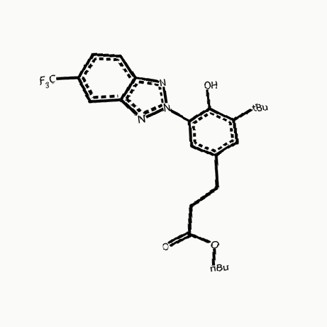 CCCCOC(=O)CCc1cc(-n2nc3ccc(C(F)(F)F)cc3n2)c(O)c(C(C)(C)C)c1